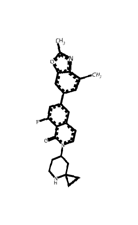 Cc1nc2c(C)cc(-c3cc(F)c4c(=O)n(C5CCNC6(CC6)C5)ccc4c3)cc2o1